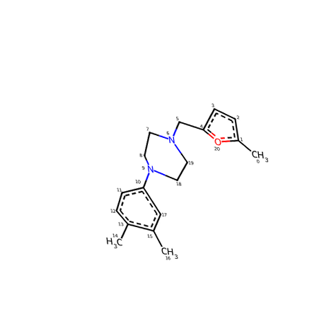 Cc1ccc(CN2CCN(c3ccc(C)c(C)c3)CC2)o1